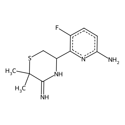 CC1(C)SCC(c2nc(N)ccc2F)NC1=N